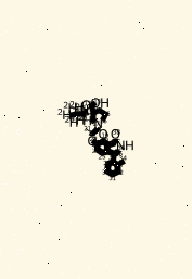 [2H]C([2H])([2H])C([2H])([2H])C([2H])([2H])[C@]1(C(=O)O)CCCN(C(=O)[C@@H](C)Oc2ccc3c(-c4ccccc4C)c[nH]c(=O)c3c2)C1